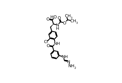 CC(C)OC(=O)N[C@@H](Cc1ccc(NC(=O)c2cccc(NC=NN)c2)c(Cl)c1)C(=O)O